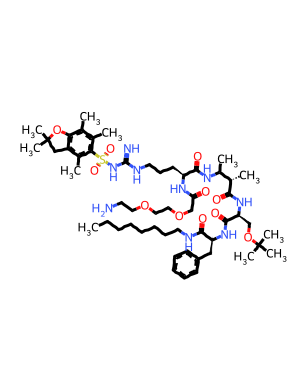 CCCCCCCCNC(=O)[C@H](Cc1ccccc1)NC(=O)[C@H](COC(C)(C)C)NC(=O)[C@@H](C)C(C)NC(=O)[C@H](CCCNC(=N)NS(=O)(=O)c1c(C)c(C)c2c(c1C)CC(C)(C)O2)NC(=O)COCCOCCN